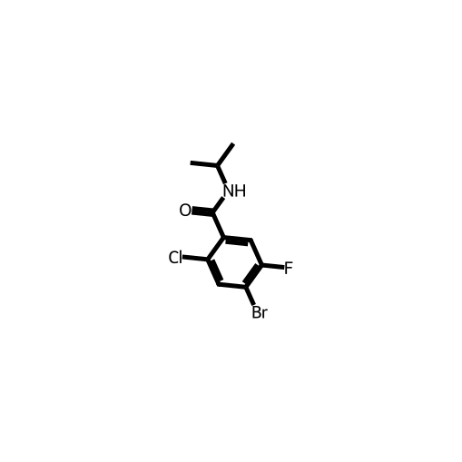 CC(C)NC(=O)c1cc(F)c(Br)cc1Cl